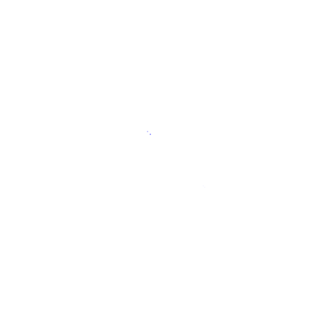 O=C1OC(CI)CN1c1ccc(N2CCOC3CNCC32)c(F)c1